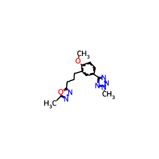 COc1ccc(-c2nnn(C)n2)cc1CCCc1nnc(C)o1